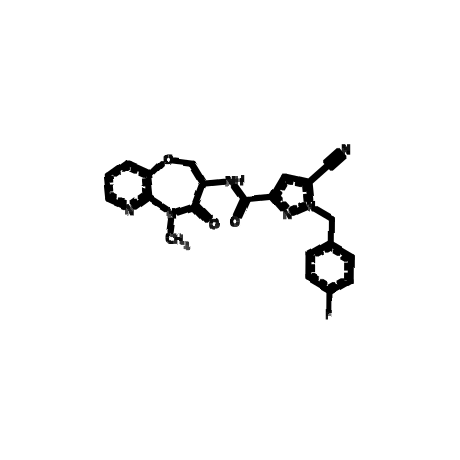 CN1C(=O)C(NC(=O)c2cc(C#N)n(Cc3ccc(F)cc3)n2)COc2cccnc21